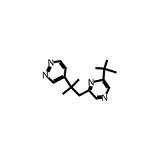 CC(C)(C)c1cncc(CC(C)(C)c2ccnnc2)n1